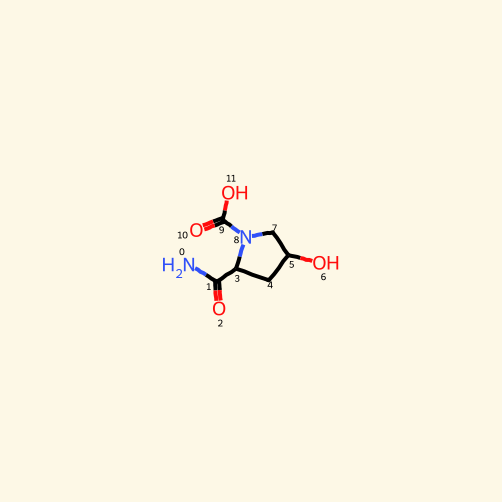 NC(=O)C1CC(O)CN1C(=O)O